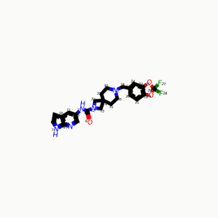 O=C(Nc1cnc2[nH]ccc2c1)N1CC2(CCN(Cc3ccc4c(c3)OC(F)(F)O4)CC2)C1